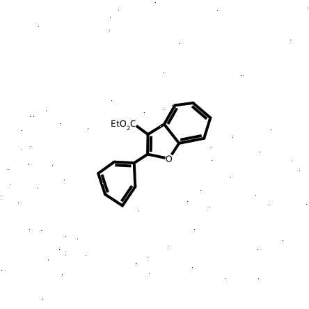 CCOC(=O)c1c(-c2ccccc2)oc2ccccc12